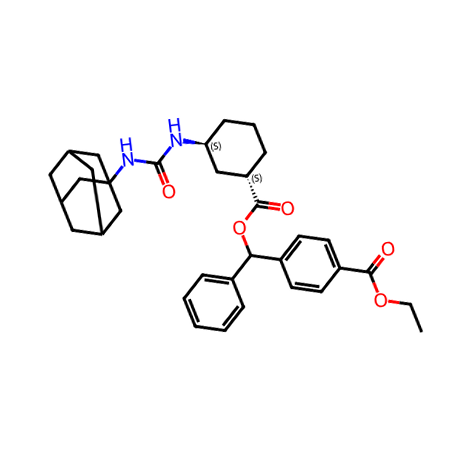 CCOC(=O)c1ccc(C(OC(=O)[C@H]2CCC[C@H](NC(=O)NC34CC5CC(CC(C5)C3)C4)C2)c2ccccc2)cc1